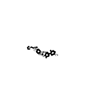 Cc1ccc(C#N)cc1-c1cc(C)c2c(c1)NNC(Nc1ccc(S(=O)(=O)NCCN3CCCC3)cc1)=N2